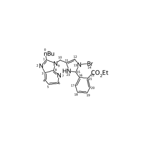 CCCCc1nc2cccnc2n1CC1=CN(Br)C(c2ccccc2C(=O)OCC)N1